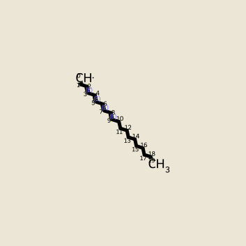 [CH]=C/C=C/C=C/C=C/C=C/CCCCCCCCCC